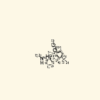 CCCC(CC)(Pc1c(C)cccc1CNCC)c1cc(C(C)(C)C)cc(C)c1OCOC